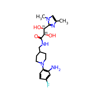 Cc1cn(C)c([C@H](O)[C@@H](O)C(=O)NCC2CCN(c3ccc(F)cc3N)CC2)n1